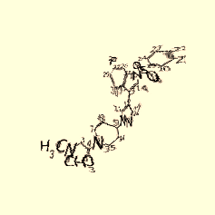 CN(C)CC(=O)N1CCC(n2cc(-c3cn(S(=O)(=O)c4ccccc4)c4cc(F)ccc34)cn2)CC1